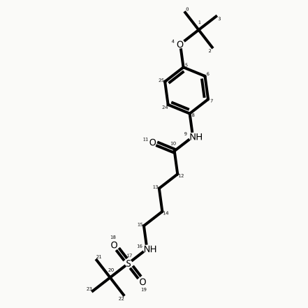 CC(C)(C)Oc1ccc(NC(=O)CCCCNS(=O)(=O)C(C)(C)C)cc1